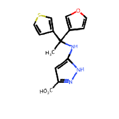 CC(Nc1cc(C(=O)O)n[nH]1)(c1ccoc1)c1ccsc1